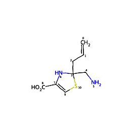 C=CCC1(CN)NC(C(=O)O)=CS1